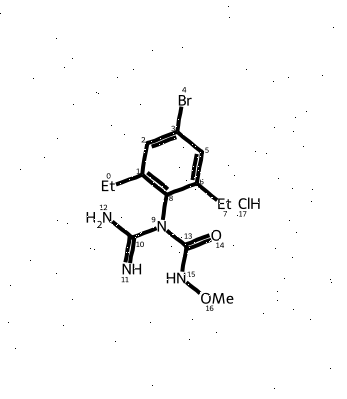 CCc1cc(Br)cc(CC)c1N(C(=N)N)C(=O)NOC.Cl